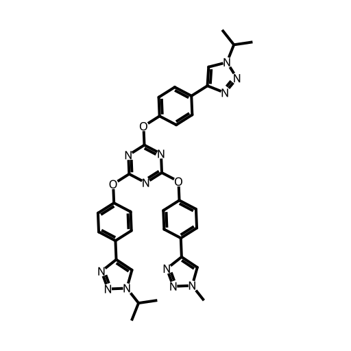 CC(C)n1cc(-c2ccc(Oc3nc(Oc4ccc(-c5cn(C)nn5)cc4)nc(Oc4ccc(-c5cn(C(C)C)nn5)cc4)n3)cc2)nn1